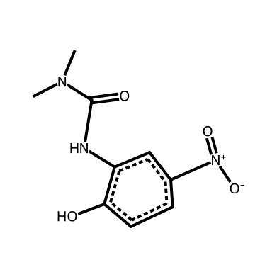 CN(C)C(=O)Nc1cc([N+](=O)[O-])ccc1O